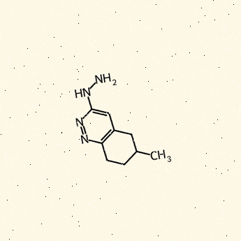 CC1CCc2nnc(NN)cc2C1